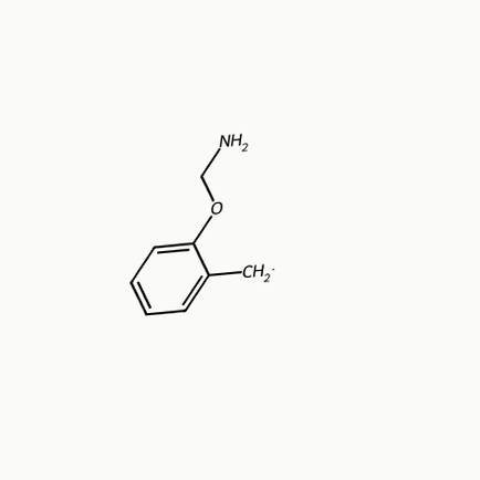 [CH2]c1ccccc1OCN